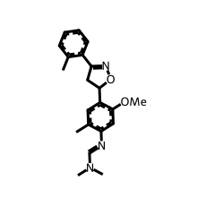 COc1cc(N=CN(C)C)c(C)cc1C1CC(c2ccccc2C)=NO1